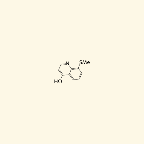 CSc1cccc2c(O)ccnc12